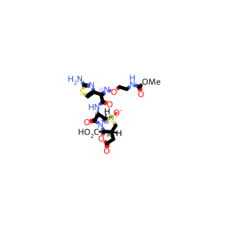 COC(=O)NCCO/N=C(\C(=O)N[C@@H]1C(=O)N2[C@@H]1[S@@+]([O-])C[C@@H]1CC(=O)O[C@@]12C(=O)O)c1csc(N)n1